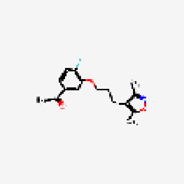 CC(=O)c1ccc(F)c(OCCCc2c(C)noc2C)c1